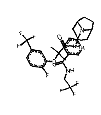 CC(C)(Oc1cc(C(F)(F)F)ccc1F)C(=O)NC1CC2CCC(C1)N2c1ccc(C(=O)NCC(F)(F)F)cn1